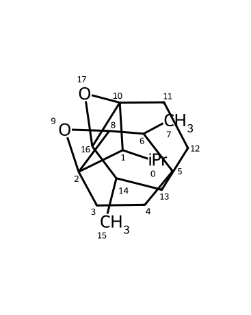 CC(C)C(C12CCCC(C)C1O2)C12CCCC(C)C1O2